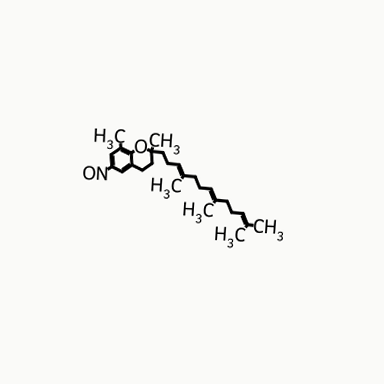 CC(C)=CCC/C(C)=C/CC/C(C)=C/CCC1(C)CCc2cc(N=O)cc(C)c2O1